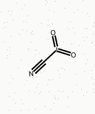 N#CI(=O)=O